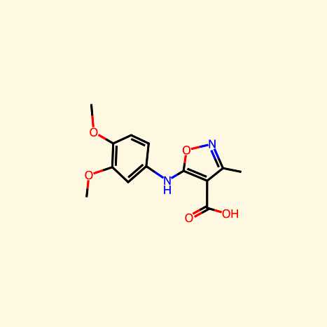 COc1ccc(Nc2onc(C)c2C(=O)O)cc1OC